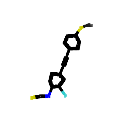 CCCCSc1ccc(C#Cc2ccc(N=C=S)c(F)c2)cc1